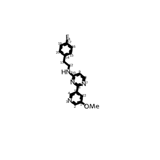 COc1cncc(-c2nccc(NCCc3ccc(F)cc3)n2)c1